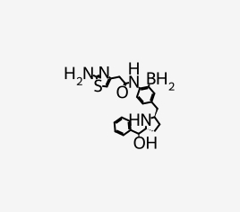 Bc1cc(C[C@H]2CC[C@H]([C@H](O)c3ccccc3)N2)ccc1NC(=O)Cc1csc(N)n1